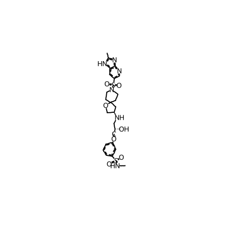 CNS(=O)(=O)c1cccc(OC[C@@H](O)CN[C@H]2COC3(CCN(S(=O)(=O)c4cnc5nc(C)[nH]c5c4)CC3)C2)c1